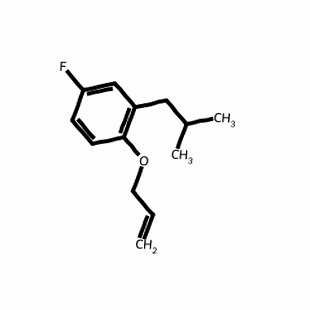 C=CCOc1ccc(F)cc1CC(C)C